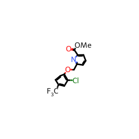 COC(=O)c1cccc(COc2ccc(C(F)(F)F)cc2Cl)n1